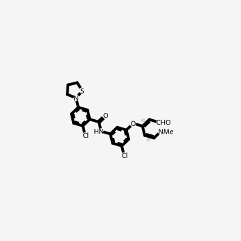 CN/C=C\C(=C/C=O)Oc1cc(Cl)cc(NC(=O)c2cc(N3CCCS3)ccc2Cl)c1